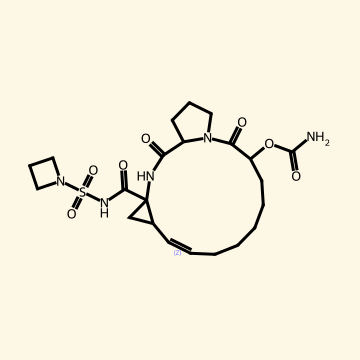 NC(=O)OC1CCCCC/C=C\C2CC2(C(=O)NS(=O)(=O)N2CCC2)NC(=O)C2CCCN2C1=O